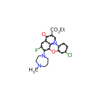 CCOC(=O)c1cn2c3c(c(N4CCCN(C)CC4)c(F)cc3c1=O)Oc1cc(Cl)ccc1-2